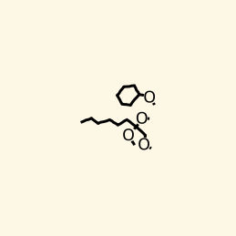 CCCCCCC(COC)(OC)OC.COC1CCCCC1